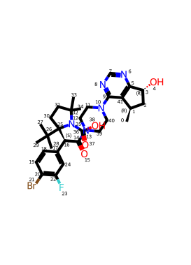 C[C@@H]1C[C@@H](O)c2ncnc(N3CCN(C(=O)[C@@H](c4ccc(Br)c(F)c4)C4(C(C)(C)C)CCC(C)(C)N4C(=O)O)CC3)c21